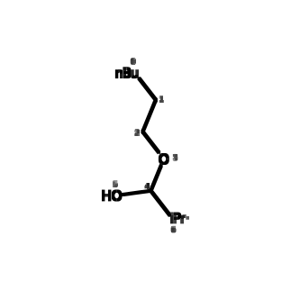 CCCCCCOC(O)[C](C)C